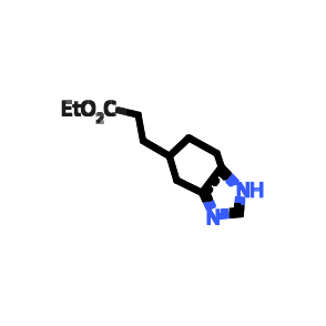 CCOC(=O)CCC1CCc2[nH]cnc2C1